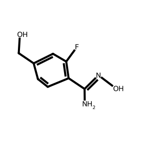 N/C(=N\O)c1ccc(CO)cc1F